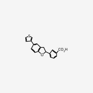 O=C(O)c1cccc(C2Cc3cc(-c4ccsc4)ccc3O2)c1